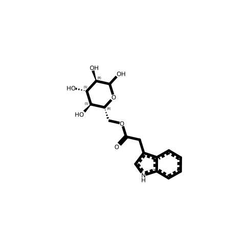 O=C(Cc1c[nH]c2ccccc12)OC[C@H]1OC(O)[C@H](O)[C@@H](O)[C@@H]1O